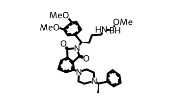 COBNCCC[C@H](c1ccc(OC)c(OC)c1)N1C(=O)c2cccc(N3CCN([C@H](C)c4ccccc4)CC3)c2C1=O